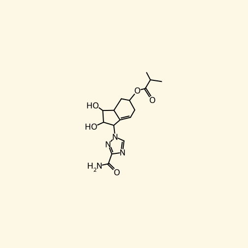 CC(C)C(=O)OC1CC=C2C(C1)C(O)C(O)C2n1cnc(C(N)=O)n1